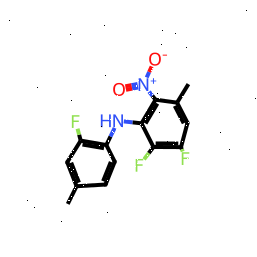 Cc1ccc(Nc2c(F)c(F)cc(C)c2[N+](=O)[O-])c(F)c1